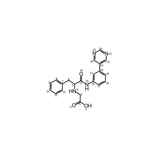 O=C(O)CNC(Cc1ccccc1)C(=O)Nc1cccc(-c2cncnc2)c1